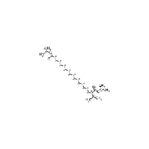 CC(C)OC(=O)CCCCCCCCCCCCCCCCC(C(=O)OC(C)C)C(C)C